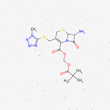 Cn1nnnc1SCC1=C(C(=O)OCOC(=O)C(C)(C)C)N2C(=O)C(N)C2SC1